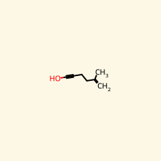 C=C(C)CCC#CO